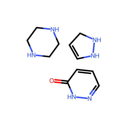 C1=CNNC1.C1CNCCN1.O=c1cccn[nH]1